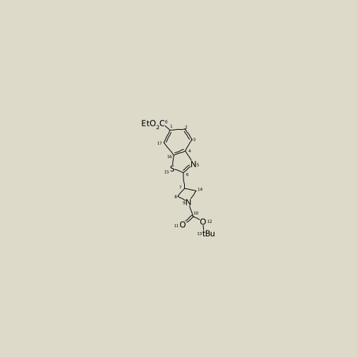 CCOC(=O)c1ccc2nc(C3CN(C(=O)OC(C)(C)C)C3)sc2c1